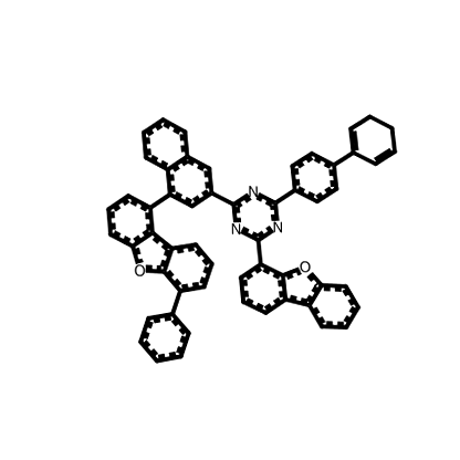 C1=CC(c2ccc(-c3nc(-c4cc(-c5cccc6oc7c(-c8ccccc8)cccc7c56)c5ccccc5c4)nc(-c4cccc5c4oc4ccccc45)n3)cc2)=CCC1